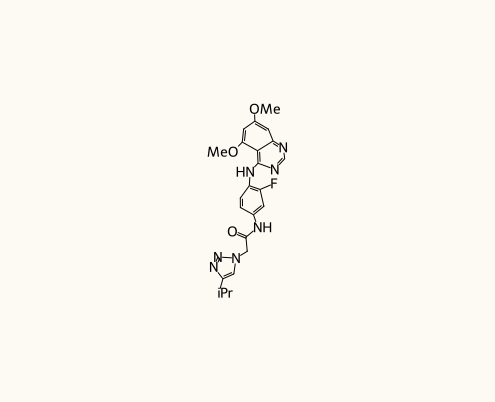 COc1cc(OC)c2c(Nc3ccc(NC(=O)Cn4cc(C(C)C)nn4)cc3F)ncnc2c1